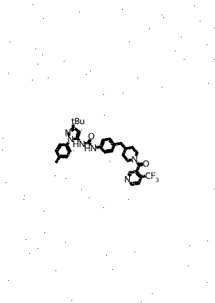 Cc1ccc(-n2nc(C(C)(C)C)cc2NC(=O)Nc2ccc(CC3CCN(C(=O)c4cnccc4C(F)(F)F)CC3)cc2)cc1